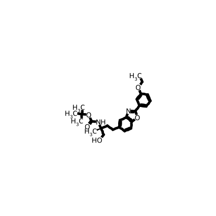 CCOc1cccc(-c2nc3cc(CC[C@](C)(CO)NC(=O)OC(C)(C)C)ccc3o2)c1